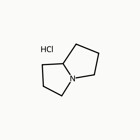 C1CC2CCCN2C1.Cl